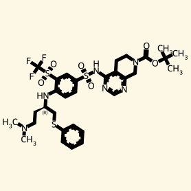 CN(C)CC[C@H](CSc1ccccc1)Nc1ccc(S(=O)(=O)Nc2ncnc3c2CCN(C(=O)OC(C)(C)C)C3)cc1S(=O)(=O)C(F)(F)F